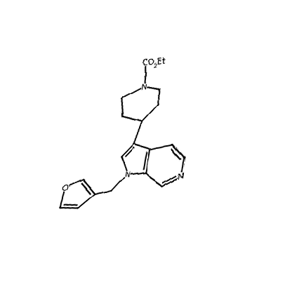 CCOC(=O)N1CCC(c2cn(Cc3ccoc3)c3cnccc23)CC1